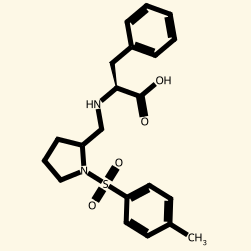 Cc1ccc(S(=O)(=O)N2CCCC2CN[C@@H](Cc2ccccc2)C(=O)O)cc1